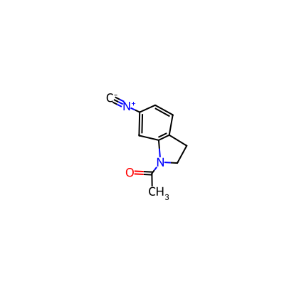 [C-]#[N+]c1ccc2c(c1)N(C(C)=O)CC2